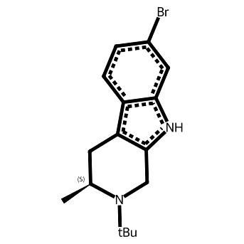 C[C@H]1Cc2c([nH]c3cc(Br)ccc23)CN1C(C)(C)C